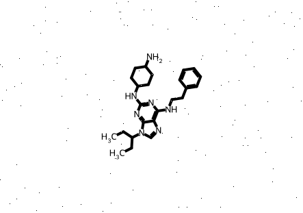 CCC(CC)n1cnc2c(NCCc3ccccc3)nc(NC3CCC(N)CC3)nc21